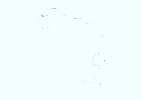 CC[N+](CC)(CC)Cc1cn(CCCS(=O)(=O)OCCCOc2ccc3ccccc3c2)nn1